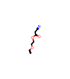 C=COCCOC(=O)CC#N